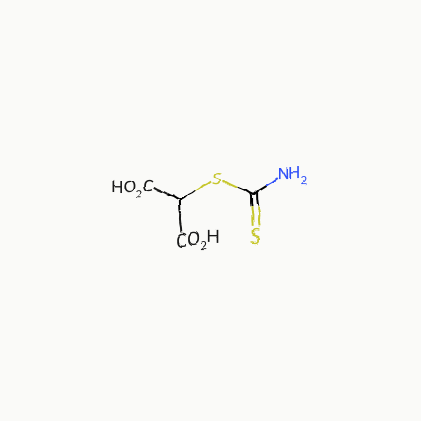 NC(=S)SC(C(=O)O)C(=O)O